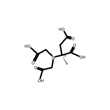 C[C@](CC(=O)O)(C(=O)O)N(CC(=O)O)CC(=O)O